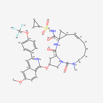 COc1ccc2c(OC3CC4C(=O)NC5(C(=O)NS(=O)(=O)C6CC6)CC5/C=C\CCCCN(C)C(=O)N4C3)nc(-c3ccc(OC(F)(F)F)cc3)cc2c1